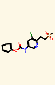 CS(=O)(=O)CCc1ncc(NC(=O)Oc2ccccc2)cc1F